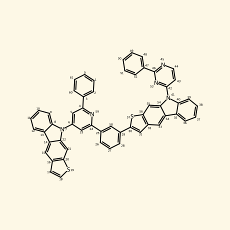 c1ccc(-c2cc(-n3c4ccccc4c4cc5ccsc5cc43)cc(-c3cccc(-c4cc5cc6c7ccccc7n(-c7ccnc(-c8ccccc8)n7)c6cc5s4)c3)n2)cc1